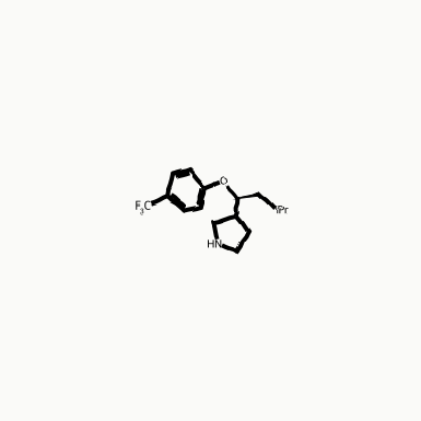 CC(C)C[C@H](Oc1ccc(C(F)(F)F)cc1)C1CCNC1